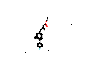 CCOC(=O)/C=C(\C)Cc1ccc(-c2ccc(F)cc2)c(C)c1